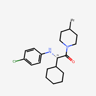 CC(C)C1CCN(C(=O)[C@@H](Nc2ccc(Cl)cc2)C2CCCCC2)CC1